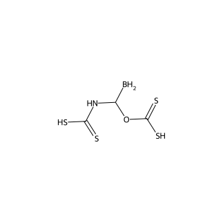 BC(NC(=S)S)OC(=S)S